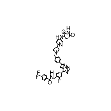 O=C1CCC(Nc2ccc(C3CCN(Cc4ccc(-c5cc6c(-c7ccc(CNC(=O)c8ccc(C(F)F)cc8)c(F)c7)ncnn6c5)cc4)CC3)nc2)C(=O)N1